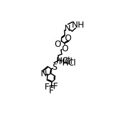 Cl.Cl.Cl.O=c1cc(CN2CCNCC2)occ1OCCCCCSc1ccnc2cc(C(F)(F)F)ccc12